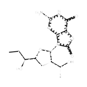 CC[C@H](O)C1C[C@@H]([C@@H](C)O)[C@H](n2c(=O)sc3c(=O)[nH]c(N)nc32)O1